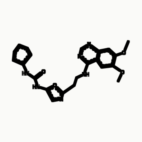 COc1cc2ncnc(NCCc3ncc(NC(=O)Nc4ccccc4)o3)c2cc1OC